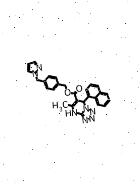 CC1=C(C(=O)OCc2ccc(Cn3cccn3)cc2)C(c2cccc3ccccc23)n2nnnc2N1